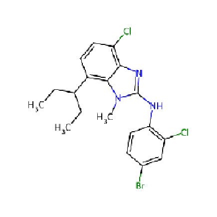 CCC(CC)c1ccc(Cl)c2nc(Nc3ccc(Br)cc3Cl)n(C)c12